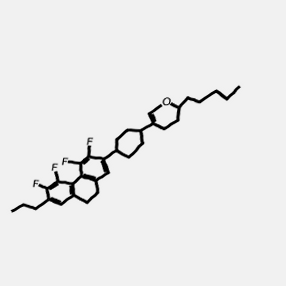 CCCCCC1CCC(C2CCC(c3cc4c(c(F)c3F)-c3c(cc(CCC)c(F)c3F)CC4)CC2)=CO1